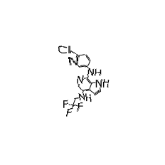 FC(F)(F)CNc1cnc(Nc2ccc(Cl)nc2)c2[nH]ccc12